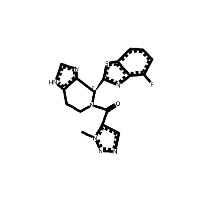 Cn1nncc1C(=O)N1CCc2[nH]cnc2[C@H]1c1nc2c(F)cccc2s1